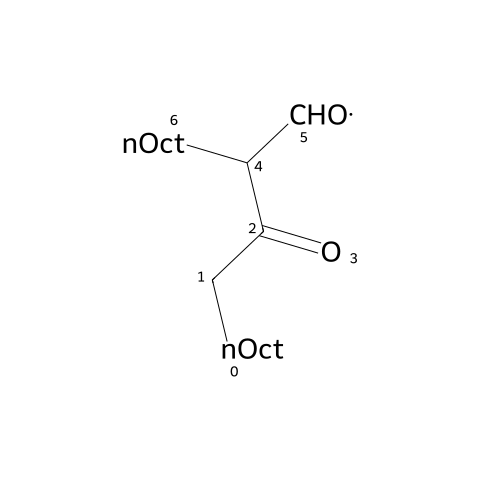 CCCCCCCCCC(=O)C([C]=O)CCCCCCCC